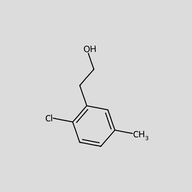 Cc1ccc(Cl)c(CCO)c1